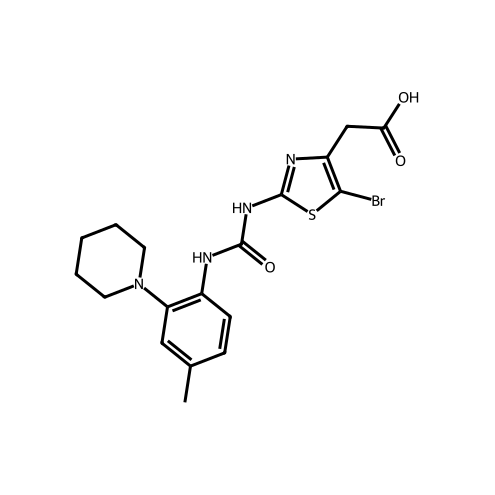 Cc1ccc(NC(=O)Nc2nc(CC(=O)O)c(Br)s2)c(N2CCCCC2)c1